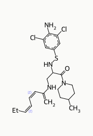 C=C(/C=C\C=C/CC)NCC(NSc1cc(Cl)c(N)c(Cl)c1)C(=O)N1CCC(C)CC1